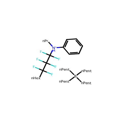 CCCCCCC(F)(F)C(F)(F)C(F)(F)[NH+](CCC)c1ccccc1.CCCCC[B-](CCCCC)(CCCCC)CCCCC